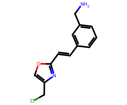 NCc1cccc(C=Cc2nc(CCl)co2)c1